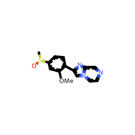 COc1cc([S+](C)[O-])ccc1-c1cn2ccncc2n1